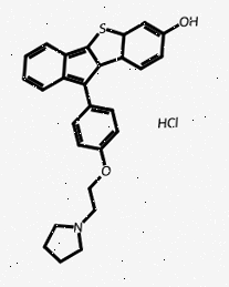 Cl.OC1=CC2SC3=c4ccccc4=C(c4ccc(OCCN5CCCC5)cc4)C3C2C=C1